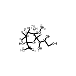 CC1(C(O)C(O)CO)O[C@](O)(C(=O)O)C(C)(C)[C@@](C)(O)[C@@]1(O)ON